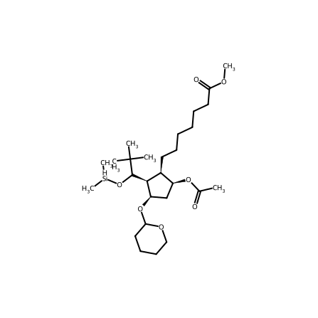 COC(=O)CCCCCC[C@@H]1[C@H](C(O[SiH](C)C)C(C)(C)C)[C@H](OC2CCCCO2)C[C@@H]1OC(C)=O